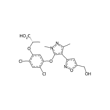 Cc1nn(C)c(Oc2cc(O[C@@H](C)C(=O)O)c(Cl)cc2Cl)c1-c1cc(CO)on1